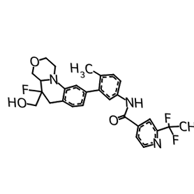 Cc1ccc(NC(=O)c2ccnc(C(C)(F)F)c2)cc1-c1ccc2c(c1)N1CCOCC1C(F)(CO)C2